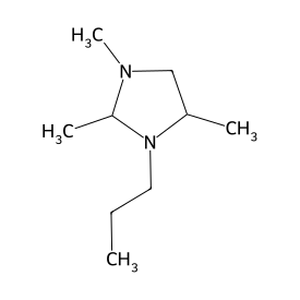 CCCN1C(C)CN(C)C1C